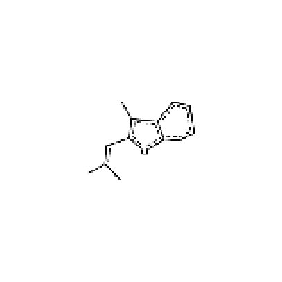 CC(C)=Cc1oc2ccccc2c1C